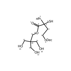 CCCCCCCCCCCCC(S)(CCC)C(=O)OCC(CO)(CO)CO